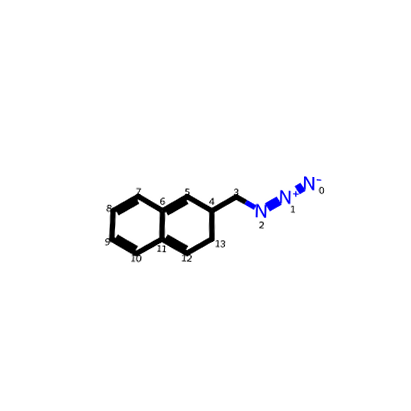 [N-]=[N+]=NCC1C=c2ccccc2=CC1